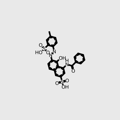 Cc1ccc(N=Nc2ccc3cc(S(=O)(=O)O)cc(NC(=O)c4ccccc4)c3c2O)c(S(=O)(=O)O)c1